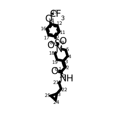 O=C(C=C1CCN(S(=O)(=O)c2ccc(OC(F)(F)F)cc2)CC1)NCCC1CC1